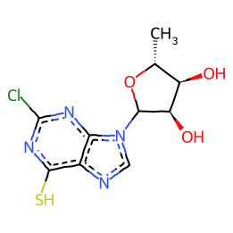 C[C@H]1OC(n2cnc3c(S)nc(Cl)nc32)[C@H](O)[C@@H]1O